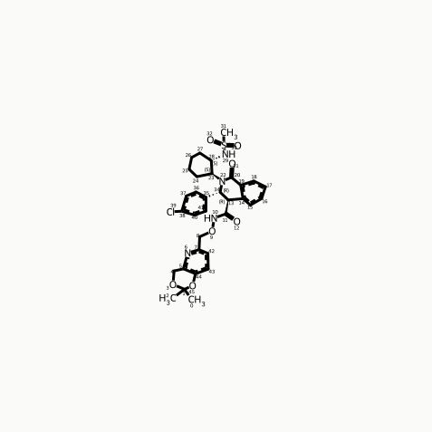 CC1(C)OCc2nc(CONC(=O)[C@@H]3c4ccccc4C(=O)N([C@H]4CCCC[C@@H]4NS(C)(=O)=O)[C@H]3c3ccc(Cl)cc3)ccc2O1